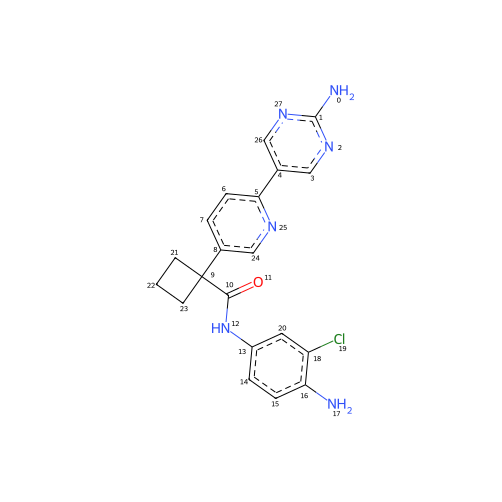 Nc1ncc(-c2ccc(C3(C(=O)Nc4ccc(N)c(Cl)c4)CCC3)cn2)cn1